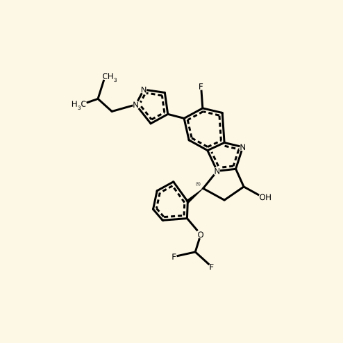 CC(C)Cn1cc(-c2cc3c(cc2F)nc2n3[C@H](c3ccccc3OC(F)F)CC2O)cn1